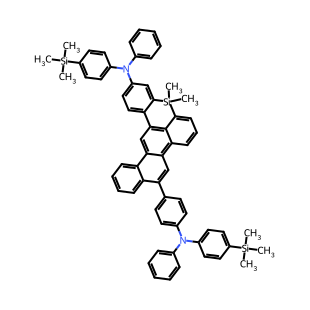 C[Si](C)(C)c1ccc(N(c2ccccc2)c2ccc(-c3cc4c5cccc6c5c(cc4c4ccccc34)-c3ccc(N(c4ccccc4)c4ccc([Si](C)(C)C)cc4)cc3[Si]6(C)C)cc2)cc1